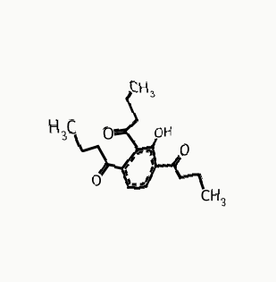 CCCC(=O)c1ccc(C(=O)CCC)c(C(=O)CCC)c1O